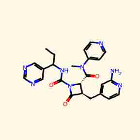 CCC(NC(=O)N1C(=O)[C@H](Cc2ccnc(N)c2)[C@H]1C(=O)N(C)c1ccncc1)c1cncnc1